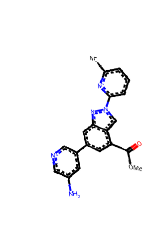 COC(=O)c1cc(-c2cncc(N)c2)cc2nn(-c3cccc(C#N)n3)cc12